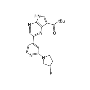 CC(C)(C)C(=O)c1c[nH]c2ncc(-c3ccnc(N4CCC(F)C4)c3)nc12